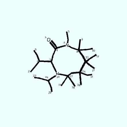 CC(C)C1C(=O)N(C)C(C)(C)C(C)(C)C(C)(C)C(C)(C)N1C(C)C